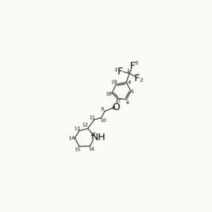 FC(F)(F)c1ccc(OCCCC2CCCCN2)cc1